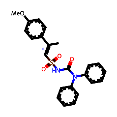 COc1ccc(/C(C)=C/S(=O)(=O)NC(=O)N(c2ccccc2)c2ccccc2)cc1